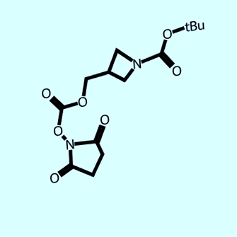 CC(C)(C)OC(=O)N1CC(COC(=O)ON2C(=O)CCC2=O)C1